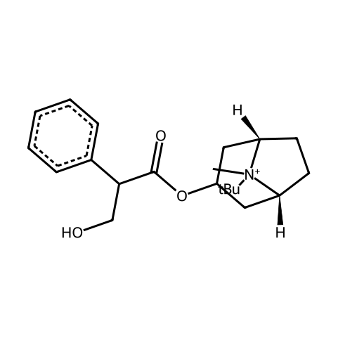 CC(C)(C)[N+]1(C)[C@@H]2CC[C@H]1CC(OC(=O)C(CO)c1ccccc1)C2